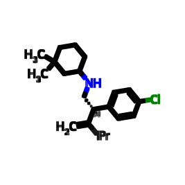 C=C(C(C)C)[C@H](CNC1CCCC(C)(C)C1)c1ccc(Cl)cc1